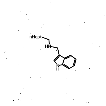 CCCCCCCCNCc1c[nH]c2ccccc12